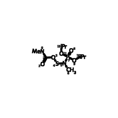 CNC(=O)OSN(C)P(=O)(OC(C)C)OC(C)C